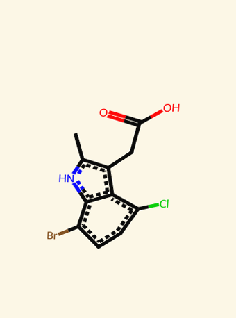 Cc1[nH]c2c(Br)ccc(Cl)c2c1CC(=O)O